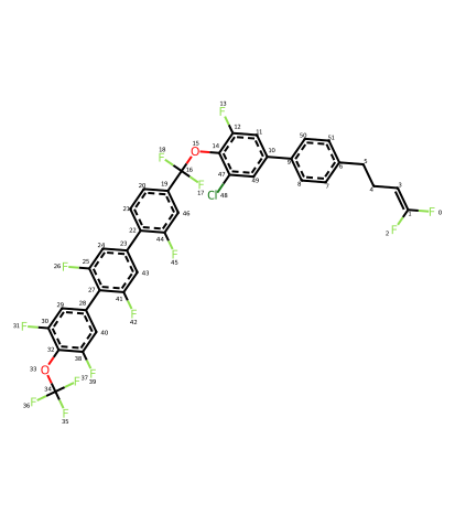 FC(F)=CCCc1ccc(-c2cc(F)c(OC(F)(F)c3ccc(-c4cc(F)c(-c5cc(F)c(OC(F)(F)F)c(F)c5)c(F)c4)c(F)c3)c(Cl)c2)cc1